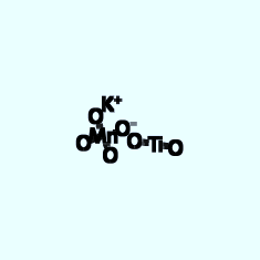 [K+].[O]=[Mn](=[O])(=[O])[O-].[O]=[Ti]=[O]